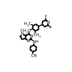 Cc1cc(-c2cc(F)nc(F)c2)cc(C)c1Oc1nc(Nc2ccc(C#N)cc2)nc2ccn(C)c12